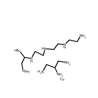 CCCCCCCCCCCC(CCCC)NCCNCCNCCN.NCC(N)CN.[Co]